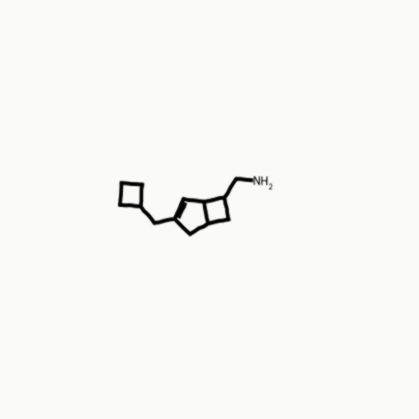 NCC1CC2CC(CC3CCC3)=CC12